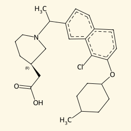 CC1CCC(Oc2ccc3ccc(C(C)N4CCC[C@H](CC(=O)O)C4)cc3c2Cl)CC1